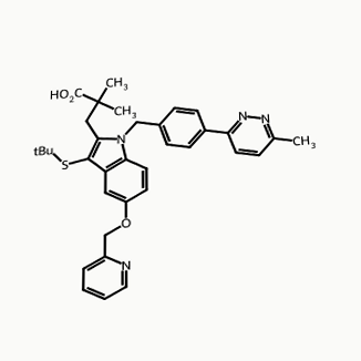 Cc1ccc(-c2ccc(Cn3c(CC(C)(C)C(=O)O)c(SC(C)(C)C)c4cc(OCc5ccccn5)ccc43)cc2)nn1